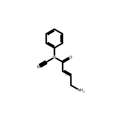 N#CN(C(=O)/C=C/CN)c1ccccc1